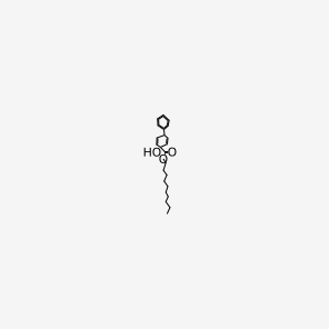 CCCCCCCCCCOC(=O)C1(O)C=CC(c2ccccc2)C=C1